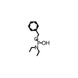 CCN(CC)P(O)OCc1ccccc1